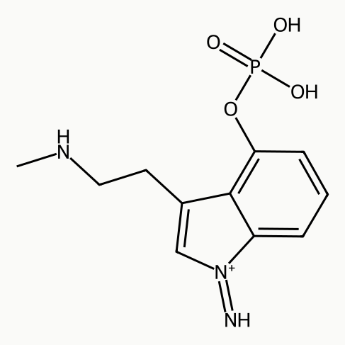 CNCCC1=C[N+](=N)c2cccc(OP(=O)(O)O)c21